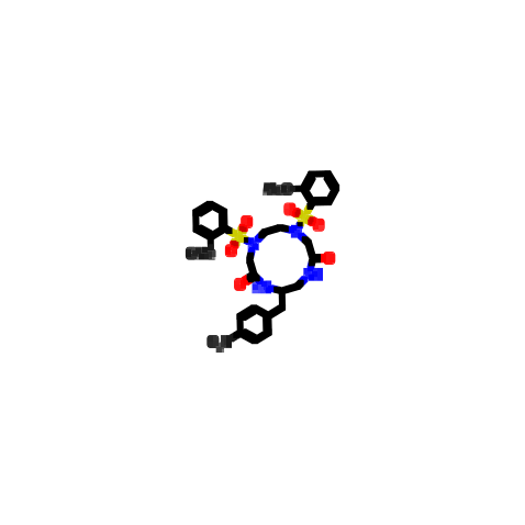 COc1ccccc1S(=O)(=O)N1CCN(S(=O)(=O)c2ccccc2OC)CC(=O)NC(Cc2ccc([N+](=O)[O-])cc2)CNC(=O)C1